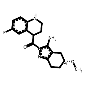 CO[C@@H]1CCc2nn(C(=O)C3CCNc4ccc(F)cc43)c(N)c2C1